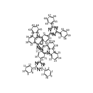 c1ccc(-c2nc(-c3ccccc3)nc(-c3cccc(-n4c5ccccc5c5cccc(-c6nnc(-c7cccc8c9ccccc9n(-c9cccc(-c%10nc(-c%11ccccc%11)nc(-c%11ccccc%11)n%10)c9)c78)o6)c54)c3)n2)cc1